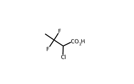 CC(F)(F)C(Cl)C(=O)O